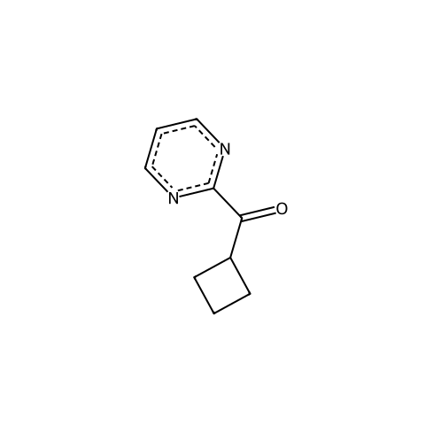 O=C(c1ncccn1)C1CCC1